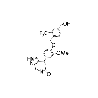 COc1cc(C2CC(=O)N=Cc3n[nH]cc32)ccc1OCc1ccc(CO)cc1C(F)(F)F